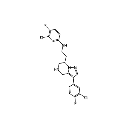 Fc1ccc(NCCC2CNCc3c(-c4ccc(F)c(Cl)c4)cnn32)cc1Cl